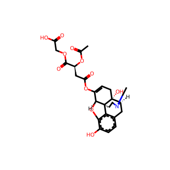 CC(=O)O[C@@H](CC(=O)OC1=CC[C@@]2(O)[C@H]3Cc4ccc(O)c5c4[C@@]2(CCN3C)[C@H]1O5)C(=O)OCC(=O)O